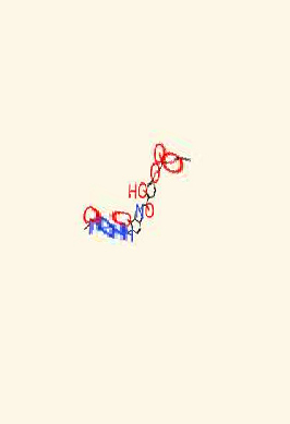 CCOC(=O)COc1ccc(C(=O)CN2C=C3C=CC(C=NNC(C)=O)C(=O)C3C2)c(O)c1